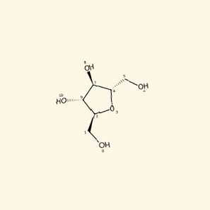 OC[C@@H]1O[C@@H](CO)[C@H](O)[C@H]1O